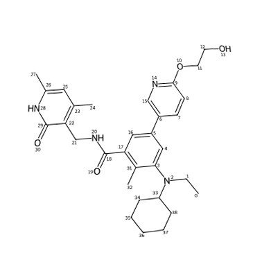 CCN(c1cc(-c2ccc(OCCO)nc2)cc(C(=O)NCc2c(C)cc(C)[nH]c2=O)c1C)C1CCCCC1